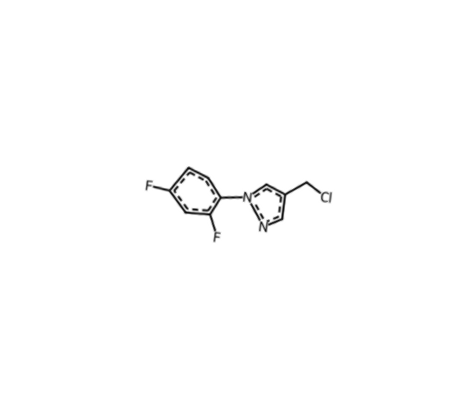 Fc1ccc(-n2cc(CCl)cn2)c(F)c1